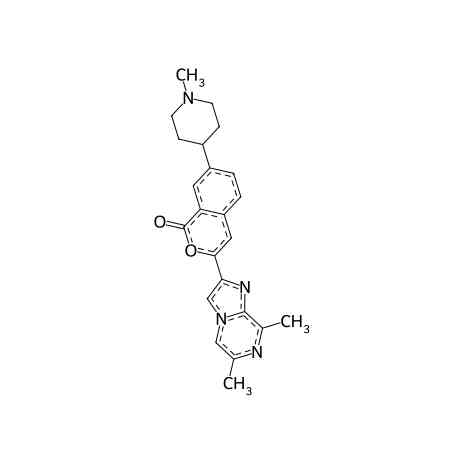 Cc1cn2cc(-c3cc4ccc(C5CCN(C)CC5)cc4c(=O)o3)nc2c(C)n1